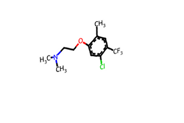 Cc1cc(C(F)(F)F)c(Cl)cc1OCCN(C)C